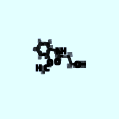 COc1ccccc1NC(=O)CCO